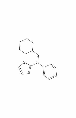 C(=C(c1ccccc1)c1cccs1)C1CCCCC1